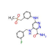 CS(=O)(=O)Cc1cccc(Nc2cc(NCc3cccc(F)c3)c(C(N)=O)nn2)c1